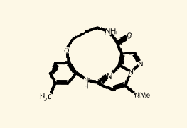 CNc1cc2nc3c(cnn13)C(=O)NCCCOc1ccc(C)cc1N2